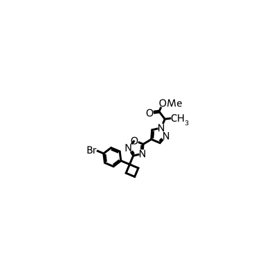 COC(=O)C(C)n1cc(-c2nc(C3(c4ccc(Br)cc4)CCC3)no2)cn1